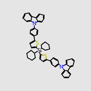 c1ccc2c(c1)c1ccccc1n2-c1ccc(-c2ccc([Si](c3ccc(-c4ccc(-n5c6ccccc6c6ccccc65)cc4)s3)(C3CCCCC3)C3CCCCC3)s2)cc1